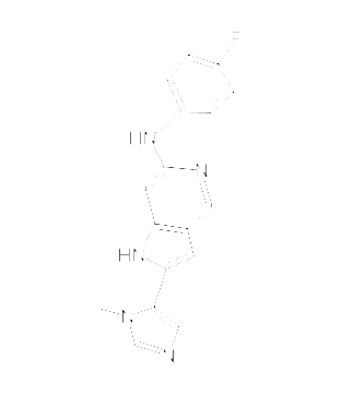 Cn1cncc1-c1cc2cnc(Nc3ccc(F)cc3)cc2[nH]1